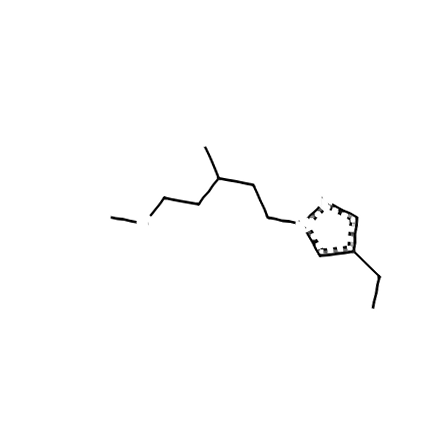 CCc1cnn(CCC(C)CCOC)c1